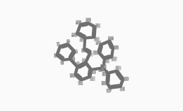 C(=Cc1c(-c2ccccc2)cccc1N(c1ccccc1)c1ccccc1)c1ccccc1